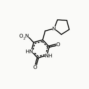 O=c1[nH]c([N+](=O)[O-])c(CN2CCCC2)c(=O)[nH]1